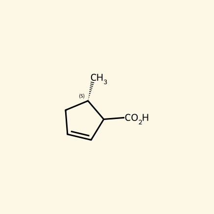 C[C@H]1CC=CC1C(=O)O